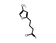 Cc1csc(CCCC(=S)Cl)c1